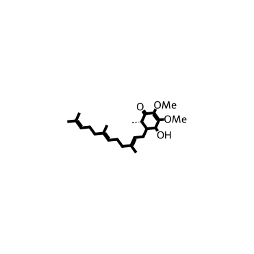 COC1=C(OC)C(O)C(C/C=C(\C)CC/C=C(\C)CCC=C(C)C)[C@H](C)C1=O